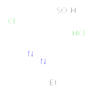 CCn1cc(S(=O)(=O)O)c(Cl)n1.Cl